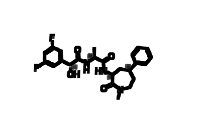 C[C@H](NC(=O)[C@H](O)c1cc(F)cc(F)c1)C(=O)N[C@H]1C[C@@H](c2ccccc2)CCN(C)C1=O